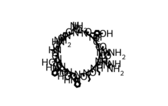 CCCC[C@@H]1NC(=O)[C@H](CCCC)N(C)C(=O)[C@H](Cc2c[nH]c3ccccc23)NC(=O)[C@H](CO)NC(=O)[C@H](Cc2c[nH]c3ccccc23)NC(=O)[C@@H]2C[C@@H](O)CN2C(=O)[C@H](OC(C)C)NC(=O)[C@H](CN)NC(=O)[C@@H]2CCCN2C(=O)[C@H](CC(N)=O)NC(=O)[C@H](C)N(C)C(=O)[C@H](Cc2ccc(O)cc2)NC(=O)CSC[C@@H](C(=O)NCC(N)=O)NC(=O)[C@H](CCCNC(=N)N)NC1=O